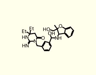 CCC1(CC)CC(=O)N(Cc2cccc(C(O)NC3c4ccccc4OC3(C)CO)c2)C(=N)N1